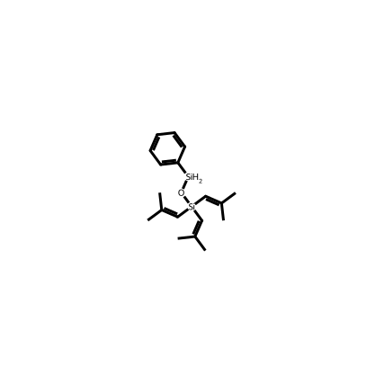 CC(C)=C[Si](C=C(C)C)(C=C(C)C)O[SiH2]c1ccccc1